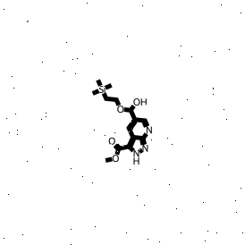 COC(=O)c1[nH]nc2ncc(C(O)OCC[Si](C)(C)C)cc12